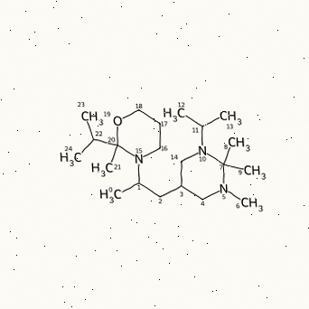 CC(CC1CN(C)C(C)(C)N(C(C)C)C1)N1CCCOC1(C)C(C)C